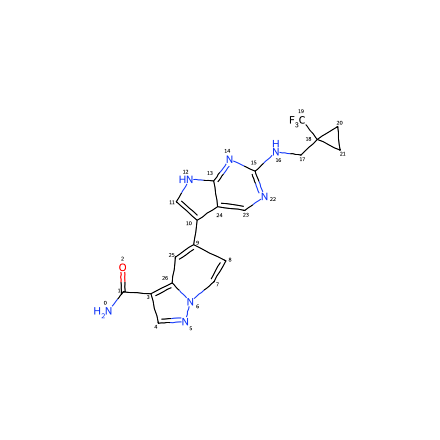 NC(=O)c1cnn2ccc(-c3c[nH]c4nc(NCC5(C(F)(F)F)CC5)ncc34)cc12